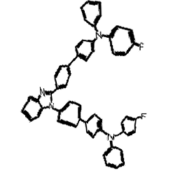 Fc1ccc(N(c2ccccc2)c2ccc(-c3ccc(-c4nc5ccccc5n4-c4ccc(-c5ccc(N(c6ccccc6)c6ccc(F)cc6)cc5)cc4)cc3)cc2)cc1